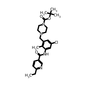 CCc1ccc(C(=O)Nc2cc(Cl)cc(CN3CCN(C(=O)OC(C)(C)C)CC3)c2C)cn1